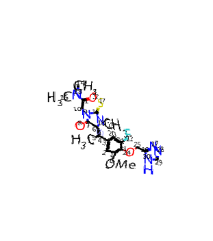 COc1cc(/C(C)=C2/C(=O)N(CC(=O)N(C)C)C(=S)N2C)cc(F)c1OCc1nnc[nH]1